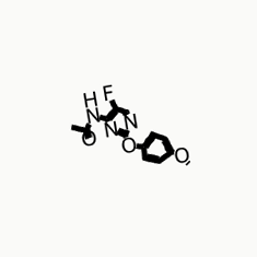 COc1ccc(Oc2ncc(F)c(NC(C)=O)n2)cc1